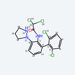 O=C(Nc1c(-c2c(Cl)cccc2Cl)cccc1N1CCCN1)C(Cl)Cl